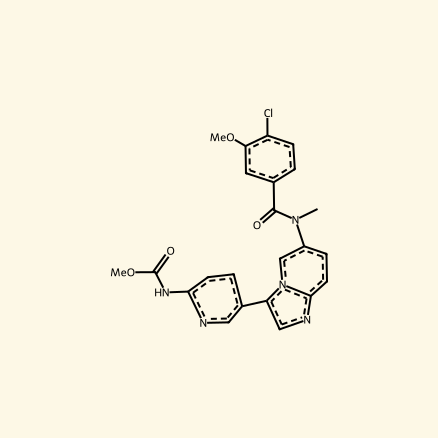 COC(=O)Nc1ccc(-c2cnc3ccc(N(C)C(=O)c4ccc(Cl)c(OC)c4)cn23)cn1